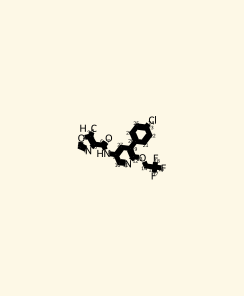 Cc1ocnc1C(=O)Nc1cnc(OCC(F)(F)F)c(-c2ccc(Cl)cc2)c1